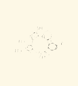 Cc1c2c(nn1C)CN(C)C(=O)c1ccc(F)cc1[C@H]1CCCCN1c1nc-2nnc1N